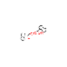 OC(COCOCC(O)c1cccc2ccccc12)c1cccc2ccccc12